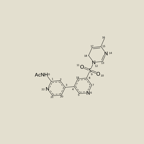 CC(=O)Nc1cc(-c2cncc(S(=O)(=O)N3C=NC(C)=CC3)c2)ccn1